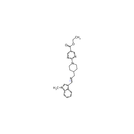 CCOC(=O)c1cnc(N2CCC(C/N=C/c3cn(C)c4ccccc34)CC2)nc1